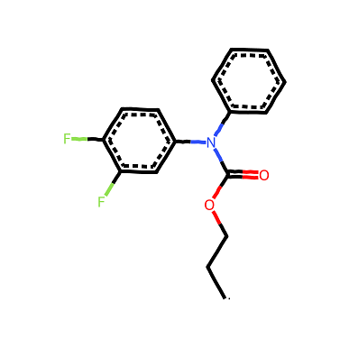 [CH2]CCOC(=O)N(c1ccccc1)c1ccc(F)c(F)c1